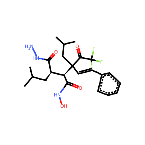 CC(C)C[C@@H](C(=O)NN)[C@H](C(=O)NO)C(/C=C/c1ccccc1)(CC(C)C)C(=O)C(F)(F)F